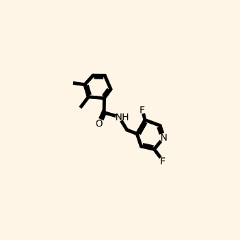 Cc1cccc(C(=O)NCc2cc(F)ncc2F)c1C